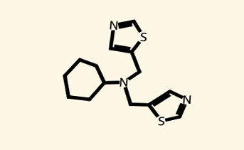 c1ncc(CN(Cc2cncs2)C2CCCCC2)s1